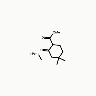 CCCCCC.COC(=O)C1CCC(C)(C)CC1=O